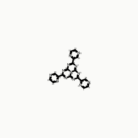 c1cnc(C2=NC3=NC(c4cnccn4)=NC4=NC(c5cnccn5)=NC(=N2)N34)cn1